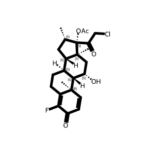 CC(=O)O[C@@]1(C(=O)CCl)[C@@H](C)C[C@H]2[C@@H]3CCC4=C(F)C(=O)C=C[C@]4(C)[C@H]3[C@@H](O)C[C@@]21C